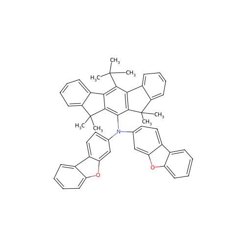 CC(C)(C)c1c2c(c(N(c3ccc4c(c3)oc3ccccc34)c3ccc4c(c3)oc3ccccc34)c3c1-c1ccccc1C3(C)C)C(C)(C)c1ccccc1-2